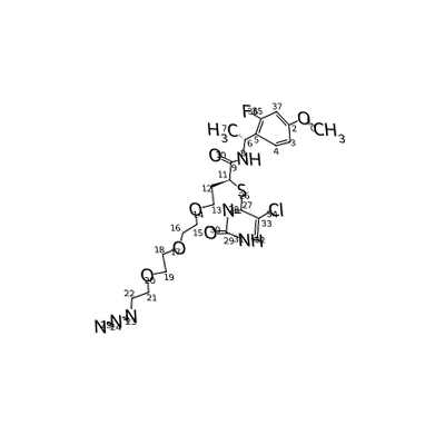 COc1ccc([C@@H](C)NC(=O)[C@H](CCOCCOCCOCCN=[N+]=[N-])Sc2nc(=O)[nH]cc2Cl)c(F)c1